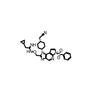 N#CC[C@H]1CC[C@H](n2c(CONC(=N)CC3CC3)nc3cnc4c(ccn4S(=O)(=O)c4ccccc4)c32)CC1